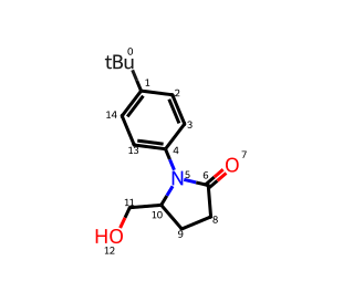 CC(C)(C)c1ccc(N2C(=O)CCC2CO)cc1